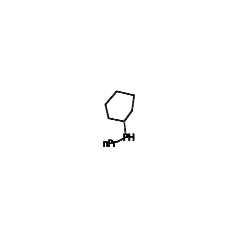 CCCPC1CCCCC1